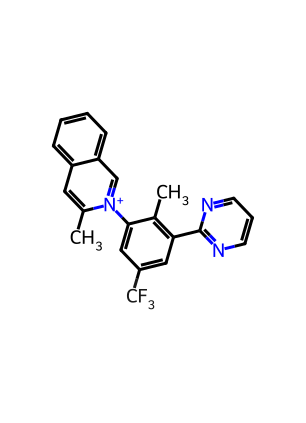 Cc1c(-c2ncccn2)cc(C(F)(F)F)cc1-[n+]1cc2ccccc2cc1C